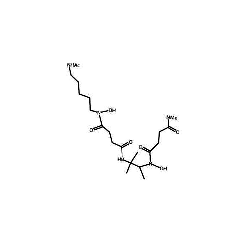 CNC(=O)CCC(=O)N(O)C(C)C(C)(C)NC(=O)CCC(=O)N(O)CCCCCNC(C)=O